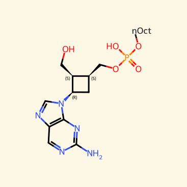 CCCCCCCCOP(=O)(O)OC[C@H]1C[C@@H](n2cnc3cnc(N)nc32)[C@H]1CO